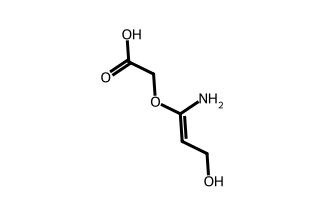 N/C(=C\CO)OCC(=O)O